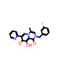 Cc1cn(Cc2cccc(F)c2)c(=O)c2c(O)c(=O)c(-c3ccccn3)cn12